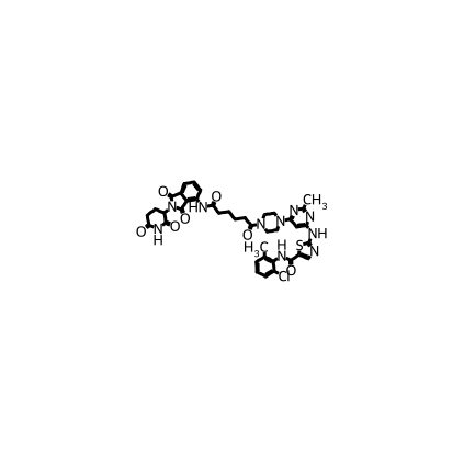 Cc1nc(Nc2ncc(C(=O)Nc3c(C)cccc3Cl)s2)cc(N2CCN(C(=O)CCCCC(=O)Nc3cccc4c3C(=O)N(C3CCC(=O)NC3=O)C4=O)CC2)n1